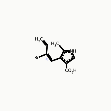 C=C/C(Br)=C\c1c(C(=O)O)c[nH]c1C